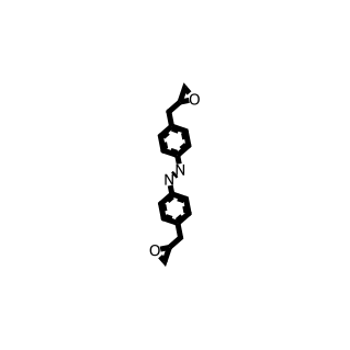 c1cc(N=Nc2ccc(CC3CO3)cc2)ccc1CC1CO1